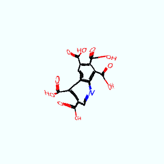 O=C(O)c1cc2c(C(=O)O)c(C(=O)O)cnc2c(C(=O)O)c1C(=O)O